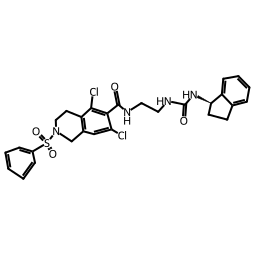 O=C(NCCNC(=O)c1c(Cl)cc2c(c1Cl)CCN(S(=O)(=O)c1ccccc1)C2)N[C@@H]1CCc2ccccc21